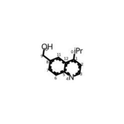 CC(C)c1ccnc2ccc(CO)cc12